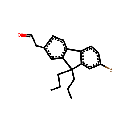 CCCC1(CCC)c2cc(Br)ccc2-c2ccc(CC=O)cc21